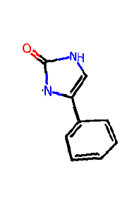 O=C1[N]C(c2ccccc2)=CN1